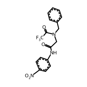 O=C(CN(Cc1ccccc1)C(=O)C(F)(F)F)Nc1ccc([N+](=O)[O-])cc1